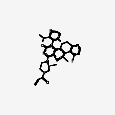 C=CC(=O)N1CCN(c2nc(=O)n(-c3c(C)ccnc3C(C)C)c3c4c(c(C)cc23)-c2c(F)ccnc2CC4)[C@@H](C)C1